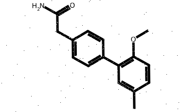 COc1ccc(C)cc1-c1ccc([CH]C(N)=O)cc1